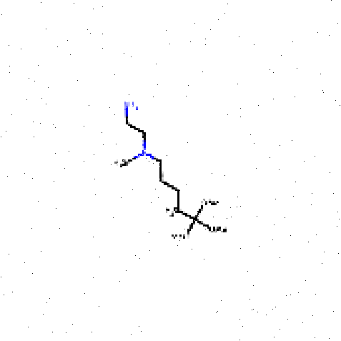 COC(OC)(OC)[SiH2]CCCN([SiH3])CCN